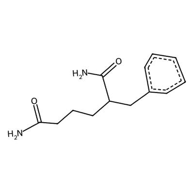 NC(=O)CCCC(Cc1ccccc1)C(N)=O